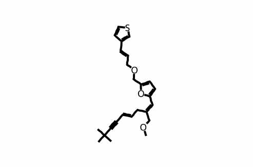 COC/C(=C/c1ccc(COC/C=C/c2ccsc2)o1)C/C=C/C#CC(C)(C)C